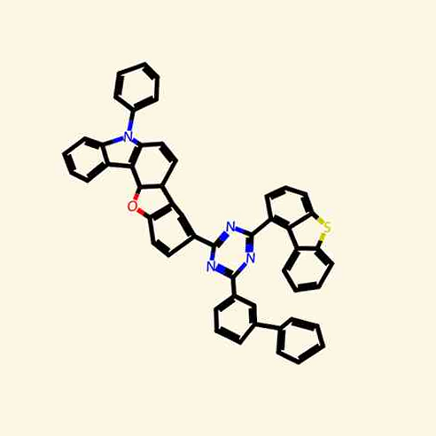 C1=CC2c3cc(-c4nc(-c5cccc(-c6ccccc6)c5)nc(-c5cccc6sc7ccccc7c56)n4)ccc3OC2c2c1n(-c1ccccc1)c1ccccc21